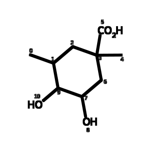 CC1CC(C)(C(=O)O)CC(O)C1O